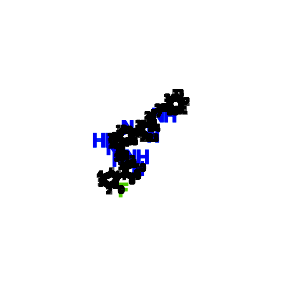 Fc1ccccc1-c1ccnc2[nH]c(-c3n[nH]c4cnc(-c5cncc(CNCc6ccccc6)c5)cc34)nc12